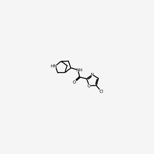 O=C(NC1CC2CC1CN2)c1ncc(Cl)o1